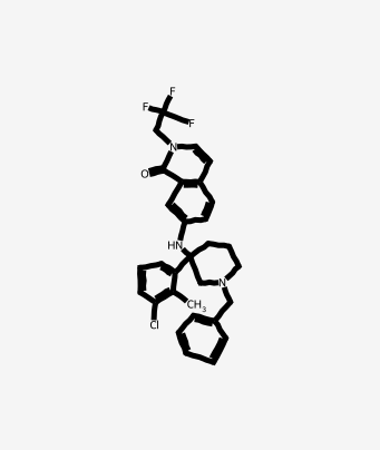 Cc1c(Cl)cccc1C1(Nc2ccc3ccn(CC(F)(F)F)c(=O)c3c2)CCCN(Cc2ccccc2)C1